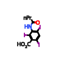 CCCC(=O)Nc1c(I)cc(I)c(C(=O)O)c1I